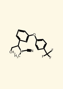 CCC(c1cccc(Oc2ccc(C(F)(F)F)cc2)c1)N(C)C#N